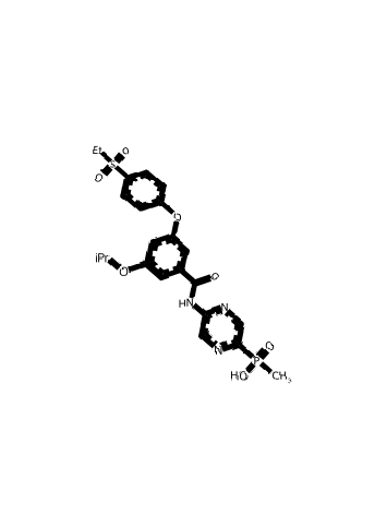 CCS(=O)(=O)c1ccc(Oc2cc(OC(C)C)cc(C(=O)Nc3cnc(P(C)(=O)O)cn3)c2)cc1